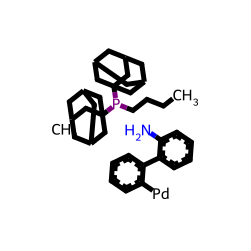 C.CCCCP(C12CC3CC(CC(C3)C1)C2)C12CC3CC(CC(C3)C1)C2.Nc1ccccc1-c1cccc[c]1[Pd]